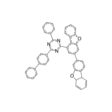 C1=CC2Oc3cc(-c4cc(-c5nc(-c6ccccc6)nc(-c6ccc(-c7ccccc7)cc6)n5)c5c(c4)oc4ccccc45)ccc3C2C=C1